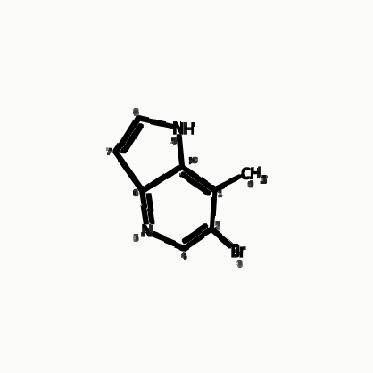 Cc1c(Br)cnc2cc[nH]c12